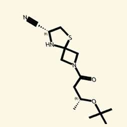 C[C@H](CC(=O)N1CC2(C1)N[C@H](C#N)CS2)OC(C)(C)C